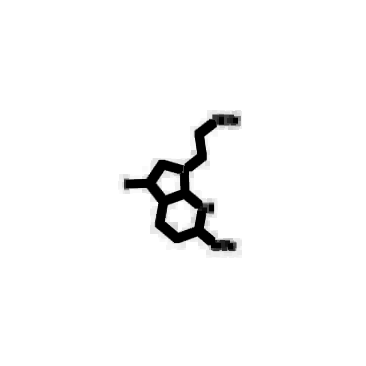 COC1CCC2C(I)CN(CCNC(C)=O)C2N1